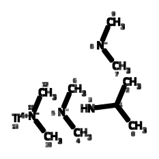 CC(C)[NH-].C[N-]C.C[N-]C.C[N-]C.[Ti+4]